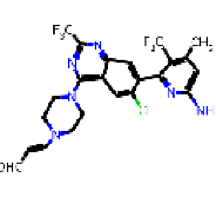 Cc1cc(N)nc(-c2cc3nc(C(F)(F)F)nc(N4CCN(C=CC=O)CC4)c3cc2Cl)c1C(F)(F)F